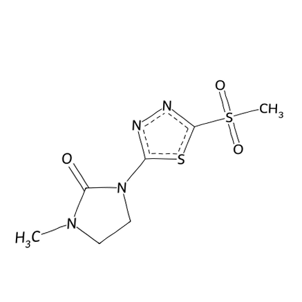 CN1CCN(c2nnc(S(C)(=O)=O)s2)C1=O